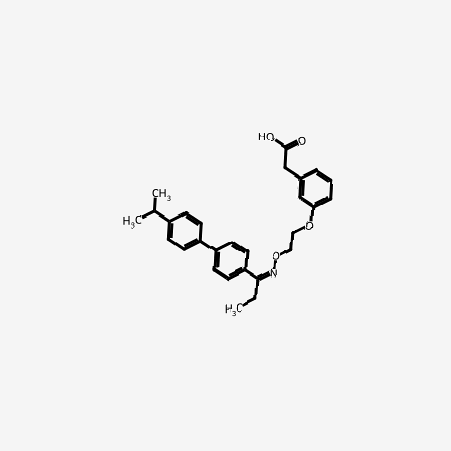 CCC(=NOCCOc1cccc(CC(=O)O)c1)c1ccc(-c2ccc(C(C)C)cc2)cc1